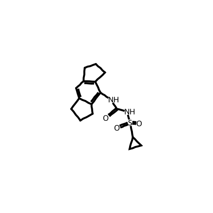 O=C(Nc1c2c(cc3c1CCC3)CCC2)NS(=O)(=O)C1CC1